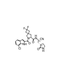 N#C[C@H](C[C@@H]1CCNC1=O)NC(=O)C1CC2(CN1C(=O)c1cc3cccc(Cl)c3[nH]1)CC(F)(F)C2